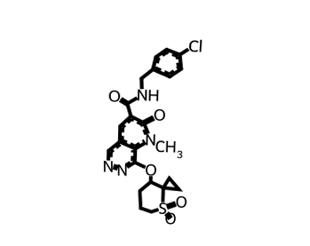 Cn1c(=O)c(C(=O)NCc2ccc(Cl)cc2)cc2cnnc(OC3CCCS(=O)(=O)C34CC4)c21